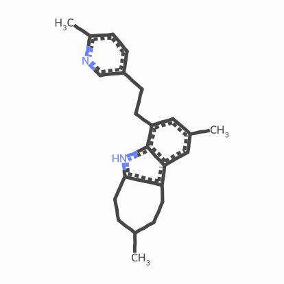 Cc1cc(CCc2ccc(C)nc2)c2[nH]c3c(c2c1)CCC(C)CC3